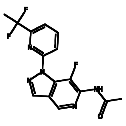 CC(=O)Nc1ncc2cnn(-c3cccc(C(C)(F)F)n3)c2c1F